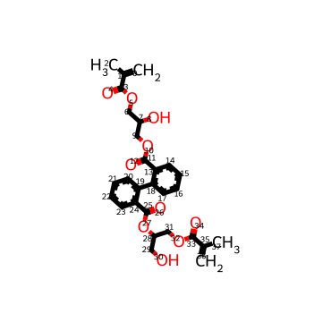 C=C(C)C(=O)OCC(O)COC(=O)c1ccccc1-c1ccccc1C(=O)OC(CO)COC(=O)C(=C)C